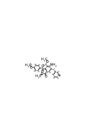 COCc1c(N)c(Cc2cccnc2)cc(C(=O)OC)c1S(=O)(=O)c1ccc(OC)cc1